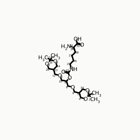 CC1(C)OCC(COCC(COCC2COC(C)(C)OC2)OC(=O)NCCCC[C@@H](N)C(=O)O)CO1